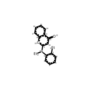 CCc1ccccc1N(CC)c1cc(=O)c2ccccc2o1